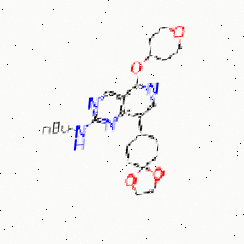 CCCCNc1ncc2c(OC3CCOCC3)ncc(C3CCC4(CC3)OCCO4)c2n1